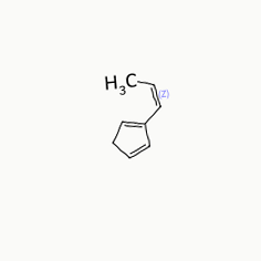 C/C=C\C1=CCC=C1